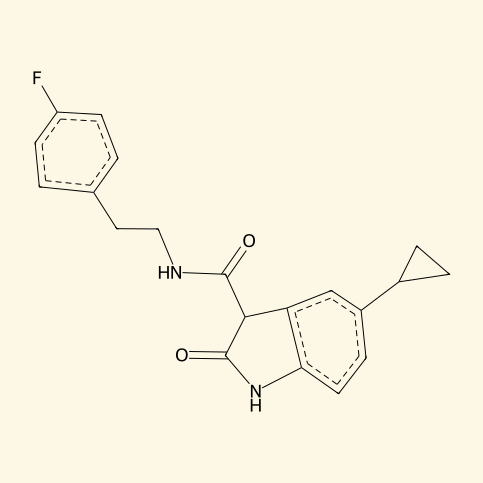 O=C(NCCc1ccc(F)cc1)C1C(=O)Nc2ccc(C3CC3)cc21